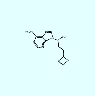 CC(CCC1CCC1)n1ccc2c(N)ncnc21